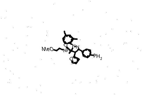 COCCNC(=O)C1(C)C(c2ccco2)C(c2ccc(P)cc2)=NN1c1ccc(C)cc1C